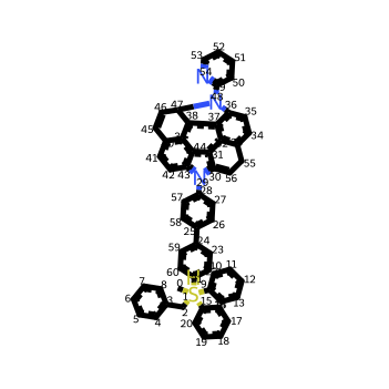 C[SH](Cc1ccccc1)(c1ccccc1)(c1ccccc1)c1ccc(-c2ccc(-n3c4c5c6c(ccc7c6c6c8c(ccc3c85)C=CC6N7c3ccccn3)CC=4)cc2)cc1